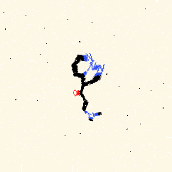 CN(C)C=CC(=O)c1cnn2ncccc12